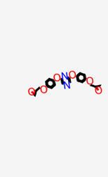 c1cc(Oc2cncc(Oc3ccc(OCC4CO4)cc3)n2)ccc1OCC1CO1